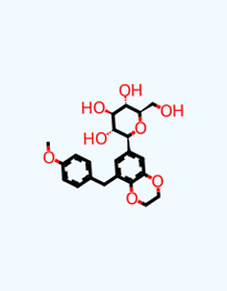 COc1ccc(Cc2cc([C@@H]3O[C@H](CO)[C@@H](O)[C@H](O)[C@H]3O)cc3c2OCCO3)cc1